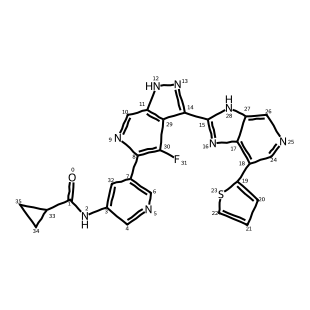 O=C(Nc1cncc(-c2ncc3[nH]nc(-c4nc5c(-c6cccs6)cncc5[nH]4)c3c2F)c1)C1CC1